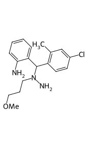 COCCCN(N)C(c1ccc(Cl)cc1C)c1ccccc1N